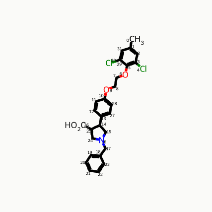 Cc1cc(Cl)c(OCCOc2ccc(C3CN(Cc4ccccc4)CC3C(=O)O)cc2)c(Cl)c1